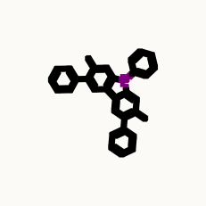 Cc1cc2c(cc1-c1ccccc1)c1cc(-c3ccccc3)c(C)cc1p2-c1ccccc1